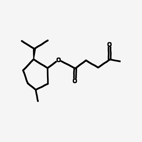 CC(=O)CCC(=O)OC1CC(C)CC[C@H]1C(C)C